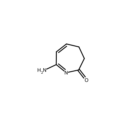 NC1=NC(=O)CCC=C1